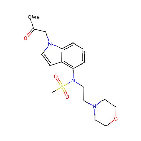 COC(=O)Cn1ccc2c(N(CCN3CCOCC3)S(C)(=O)=O)cccc21